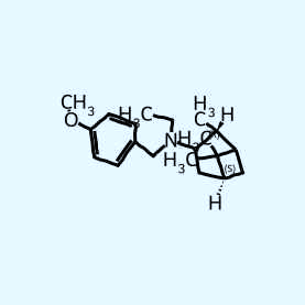 CCN(Cc1ccc(OC)cc1)C1C[C@@H]2CC([C@H]1C)C2(C)C